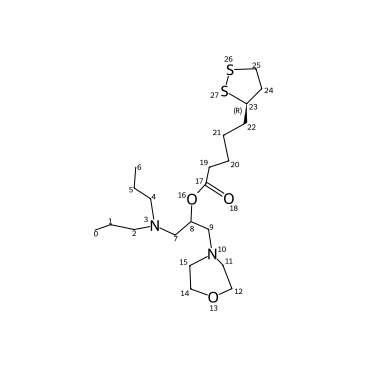 CCCN(CCC)CC(CN1CCOCC1)OC(=O)CCCC[C@@H]1CCSS1